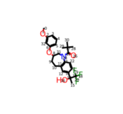 COc1cccc(OC2CCc3cc(C(C)(O)C(F)(F)F)ccc3N(C(=O)C(C)(C)C)C2)c1